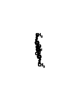 CCCCCC1CCC(C(=O)Oc2ccc(OC(=O)C3CCC(CCCCC)CC3)c(F)c2F)CC1